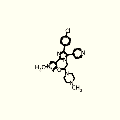 CN1CCN(C(=O)Cn2c(-c3cnn(C)c3)nc(-c3ccc(Cl)cc3)c2-c2ccncc2)CC1